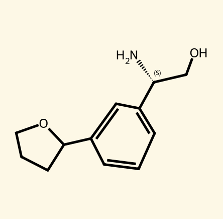 N[C@H](CO)c1cccc(C2CCCO2)c1